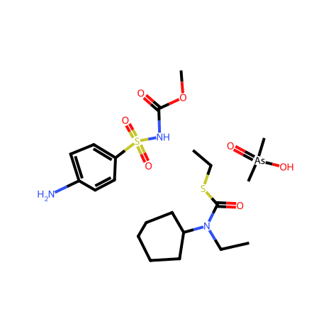 CCSC(=O)N(CC)C1CCCCC1.COC(=O)NS(=O)(=O)c1ccc(N)cc1.C[As](C)(=O)O